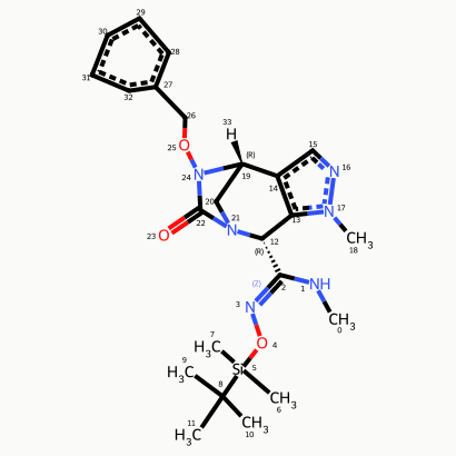 CN/C(=N\O[Si](C)(C)C(C)(C)C)[C@H]1c2c(cnn2C)[C@@H]2CN1C(=O)N2OCc1ccccc1